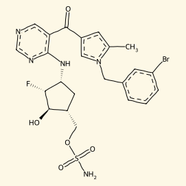 Cc1cc(C(=O)c2cncnc2N[C@@H]2C[C@H](COS(N)(=O)=O)[C@@H](O)[C@@H]2F)cn1Cc1cccc(Br)c1